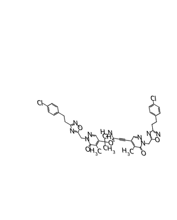 Cc1c(C#CC(N)OC(C)(C)c2cnn(Cc3nc(CCc4ccc(Cl)cc4)no3)c(=O)c2C)cnn(Cc2nc(CCc3ccc(Cl)cc3)no2)c1=O